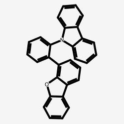 c1ccc(-n2c3ccccc3c3ccccc32)c(-c2cccc3c2oc2ccccc23)c1